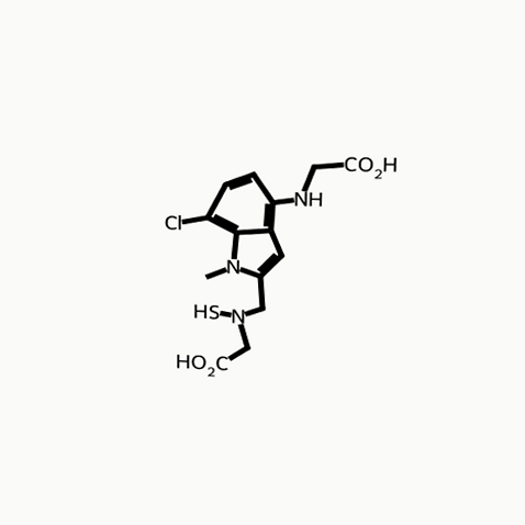 Cn1c(CN(S)CC(=O)O)cc2c(NCC(=O)O)ccc(Cl)c21